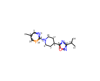 Cc1cnc(N2CCC(c3nc(C(C)C)no3)CC2)pc1